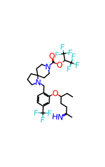 CCC(CCC(C)=N)Oc1cc(C(F)(F)F)ccc1CN1CCCC12CCN(C(=O)OC(C(F)(F)F)C(F)(F)F)CC2